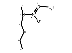 CCCCN(C)[N+]([O-])=NO